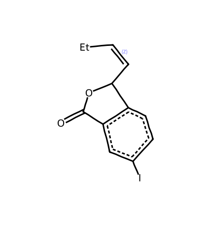 CC/C=C\C1OC(=O)c2cc(I)ccc21